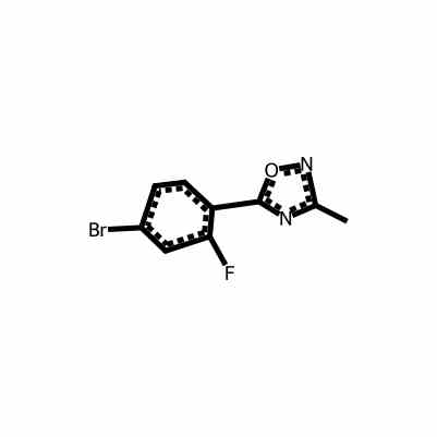 Cc1noc(-c2ccc(Br)cc2F)n1